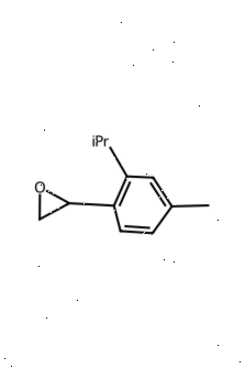 Cc1ccc(C2CO2)c(C(C)C)c1